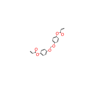 C=CC(=O)Oc1ccc(OCOc2ccc(OC(=O)C=C)cc2)cc1